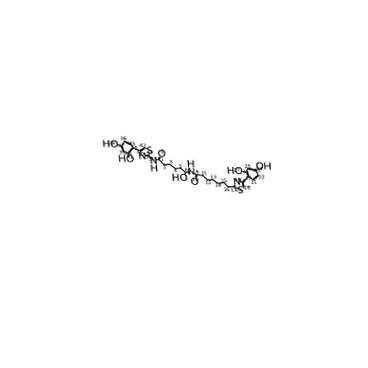 O=C(CCCCC(O)NC(=O)CCCCCCc1nc(-c2ccc(O)cc2O)cs1)Nc1nc(-c2ccc(O)cc2O)cs1